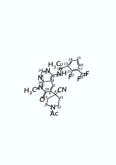 CC(=O)N1CCC(C#N)(c2cc3c(N[C@H](C)c4cccc(C(F)F)c4F)ncnc3n(C)c2=O)CC1